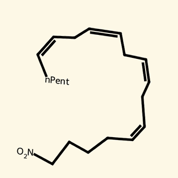 CCCCC/C=C\C/C=C\C/C=C\C/C=C\CCCC[N+](=O)[O-]